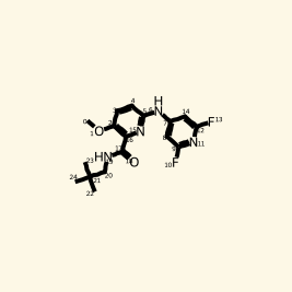 COc1ccc(Nc2cc(F)nc(F)c2)nc1C(=O)NCC(C)(C)C